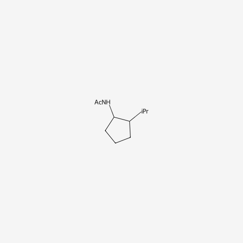 CC(=O)NC1CCCC1C(C)C